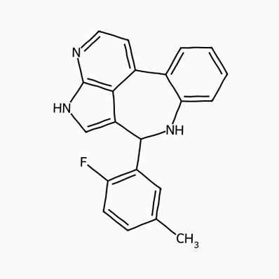 Cc1ccc(F)c(C2Nc3ccccc3-c3ccnc4[nH]cc2c34)c1